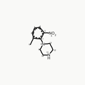 Cc1cccc([N+](=O)[O-])c1N1CCNCC1